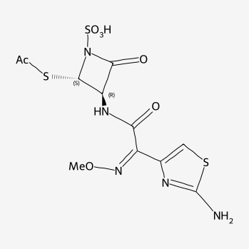 CON=C(C(=O)N[C@@H]1C(=O)N(S(=O)(=O)O)[C@H]1SC(C)=O)c1csc(N)n1